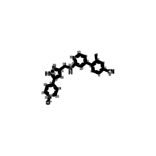 Cc1cc(C#N)ccc1-c1ccnc(NCc2cc(-c3cc[n+]([O-])cc3)[nH]n2)c1